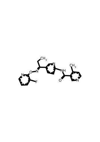 CC/C(=N\Oc1ncccc1F)c1ccc(NC(=O)c2cnccc2C)nc1